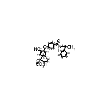 C[C@@H](CNC(=O)c1ccc(Oc2cc3c(cc2C#N)C(OC(=O)O)CCO3)cc1)c1ccccc1